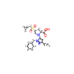 Cc1cc(N2CC(S(=O)(=O)CC3CC3)CC2C(=O)O)n(Cc2ccccc2)n1